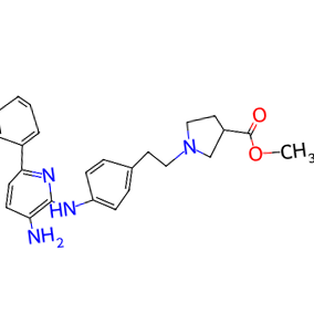 COC(=O)C1CCN(CCc2ccc(Nc3nc(-c4ccccc4)ccc3N)cc2)C1